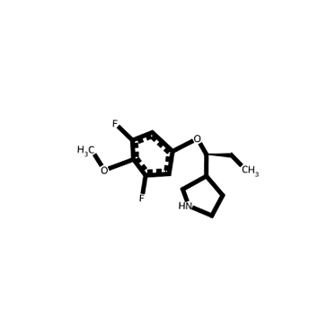 CC[C@H](Oc1cc(F)c(OC)c(F)c1)C1CCNC1